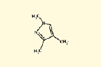 [CH2]c1cn(C)nc1C